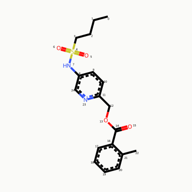 CCCCS(=O)(=O)Nc1ccc(COC(=O)c2ccccc2C)nc1